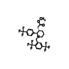 COC(=O)C[C@@H]1CCCN(Cc2cc(C(F)(F)F)ccc2C(F)(F)F)[C@H]1c1ccc(C(F)(F)F)cc1